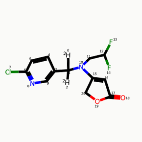 [2H]C([2H])(c1ccc(Cl)nc1)N(CC(F)F)C1=CC(=O)OC1